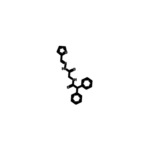 O=C(CNC(=O)C(c1ccccc1)c1ccccc1)N/N=C/c1ccco1